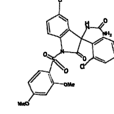 COc1ccc(S(=O)(=O)N2C(=O)C(NC(N)=O)(c3ccccc3Cl)c3cc(Cl)ccc32)c(OC)c1